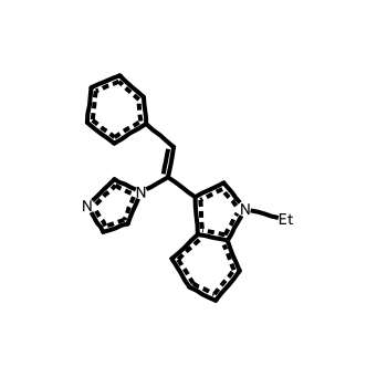 CCn1cc(C(=Cc2ccccc2)n2ccnc2)c2ccccc21